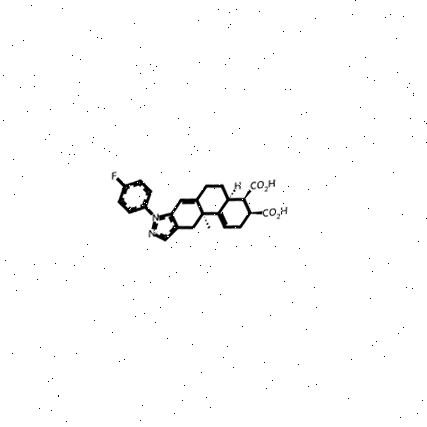 C[C@]12Cc3cnn(-c4ccc(F)cc4)c3C=C1CC[C@@H]1C2=CC[C@H](C(=O)O)[C@@H]1C(=O)O